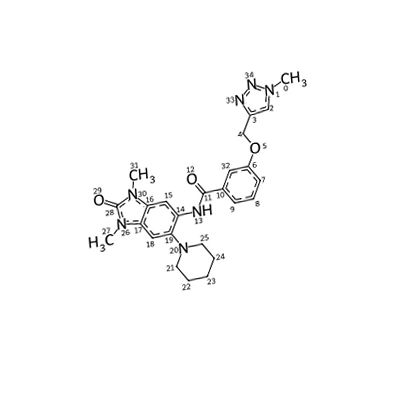 Cn1cc(COc2cccc(C(=O)Nc3cc4c(cc3N3CCCCC3)n(C)c(=O)n4C)c2)nn1